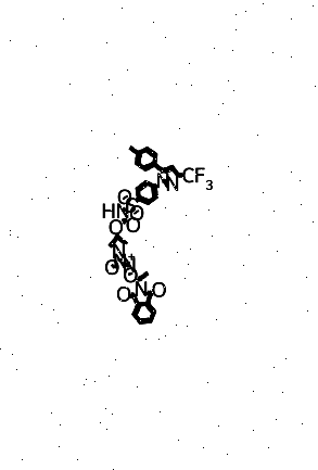 Cc1ccc(-c2cc(C(F)(F)F)nn2-c2ccc(S(=O)(=O)NC(=O)OC3CN([N+]([O-])=NOC(C)N4C(=O)c5ccccc5C4=O)C3)cc2)cc1